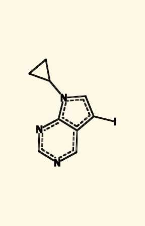 Ic1cn(C2CC2)c2ncncc12